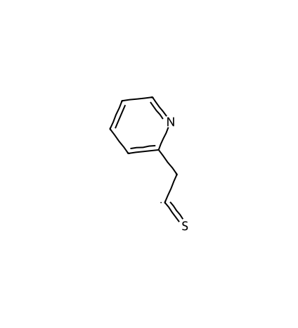 S=[C]Cc1ccccn1